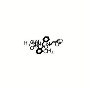 Cc1cccc(-n2nnn(C)c2=O)c1C(Cc1ccccc1)ON=CCC1=COCO1